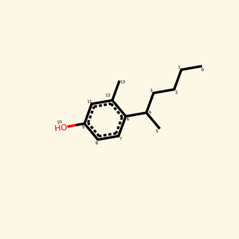 CCCCC(C)c1ccc(O)cc1C